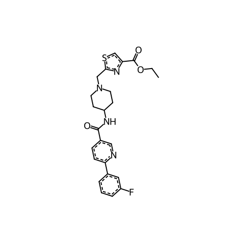 CCOC(=O)c1csc(CN2CCC(NC(=O)c3ccc(-c4cccc(F)c4)nc3)CC2)n1